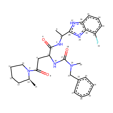 CC(NC(=O)C(CC(=O)N1CCCC[C@@H]1C)NC(=O)N(C)Cc1ccccc1)c1nc2c(F)cccc2[nH]1